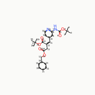 CC(C)(C)OC(=O)Nc1cc(C=C(CC(=O)OCc2ccccc2)C(=O)OC(C)(C)C)ccn1